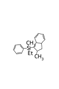 CC[Si](C)(c1ccccc1)C1C(C)CC2C=CC=CC21